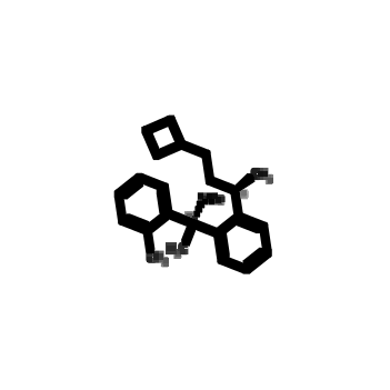 CN[C@](C)(c1ccccc1C)c1ccccc1[C@H](C)CCC1CCC1